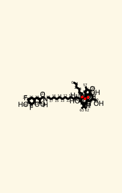 CCCCCCN(CCCCCCCCCCCCNC(=O)c1cc2cc(F)c(O)c(F)c2oc1=O)C(=O)O[C@@]12[C@H](O)[C@@H](N)[C@@]3(O)[C@@H](C=C(CO)C[C@]4(O)C(=O)C(C)=C[C@@H]34)[C@@H]1C2(C)C